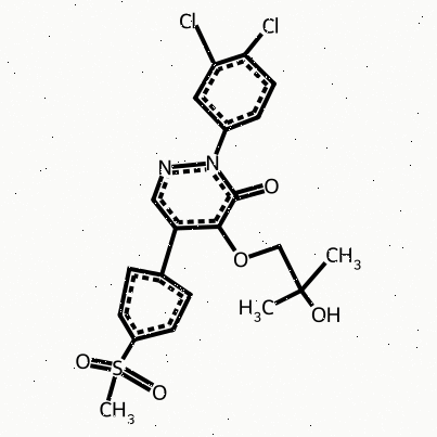 CC(C)(O)COc1c(-c2ccc(S(C)(=O)=O)cc2)cnn(-c2ccc(Cl)c(Cl)c2)c1=O